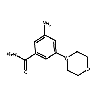 CNC(=O)c1cc(N)cc(N2CCOCC2)c1